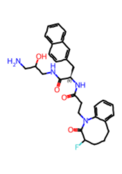 NCC(O)CNC(=O)[C@@H](Cc1ccc2ccccc2c1)NC(=O)CCN1C(=O)C(F)CCCc2ccccc21